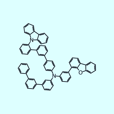 c1ccc(-c2cccc(-c3cccc(N(c4ccc(-c5cccc(-c6ccccc6-n6c7ccccc7c7ccccc76)c5)cc4)c4cccc(-c5cccc6c5oc5ccccc56)c4)c3)c2)cc1